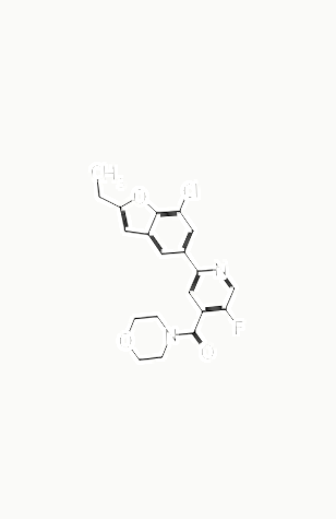 CCc1cc2cc(-c3cc(C(=O)N4CCOCC4)c(F)cn3)cc(Cl)c2o1